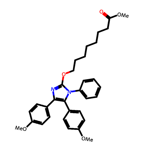 COC(=O)CCCCCCCOc1nc(-c2ccc(OC)cc2)c(-c2ccc(OC)cc2)n1-c1ccccc1